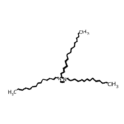 CCCCCCCCCCCCCCCCc1n(CCCCCCCCCCCCCC)cc[n+]1CCCCCCCCCCCCCC